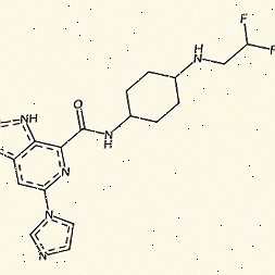 O=C(NC1CCC(NCC(F)F)CC1)c1nc(-n2ccnc2)cc2cn[nH]c12